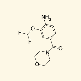 Nc1ccc(C(=O)N2CCOCC2)cc1OC(F)F